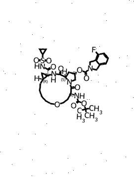 CC(C)(C)OC(=O)N[C@H]1CCOCCCCC[C@@H]2C[C@@]2(C(=O)NS(=O)(=O)C2CC2)NC(=O)[C@@H]2C[C@@H](OC(=O)N3Cc4cccc(F)c4C3)CN2C1=O